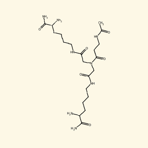 CC(=O)NCCC(=O)N(CC(=O)NCCCCC(N)C(N)=O)CC(=O)NCCCCC(N)C(N)=O